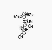 CCC(c1cccnc1)C(N1CCC(Nc2nc3c(Cc4ccccn4)cccc3[nH]2)CC1)N(C)C(=O)c1cc(OC)c(OC)c(OC)c1